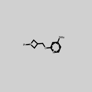 CNc1ccnc(OCC2CN(C(C)C)C2)c1